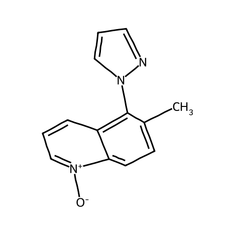 Cc1ccc2c(ccc[n+]2[O-])c1-n1cccn1